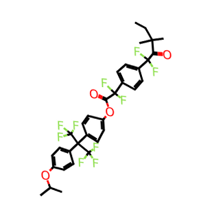 CCC(C)(C)C(=O)C(F)(F)c1ccc(C(F)(F)C(=O)Oc2ccc(C(c3ccc(OC(C)C)cc3)(C(F)(F)F)C(F)(F)F)cc2)cc1